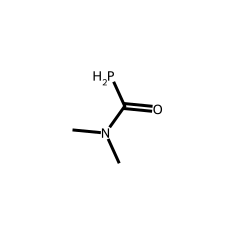 CN(C)C(=O)P